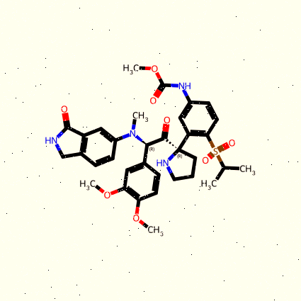 COC(=O)Nc1ccc(S(=O)(=O)C(C)C)c([C@@]2(C(=O)[C@@H](c3ccc(OC)c(OC)c3)N(C)c3ccc4c(c3)C(=O)NC4)CCCN2)c1